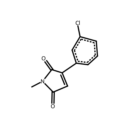 CN1C(=O)C=C(c2cccc(Cl)c2)C1=O